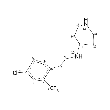 FC(F)(F)c1cc(Cl)ccc1CCNC1CCNCC1